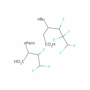 CCCCC(CC(=O)O)C(F)C(F)(F)C(F)F.CCCCCC(C(=O)O)C(F)C(F)F